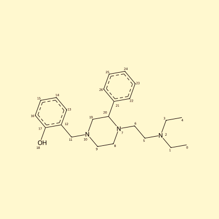 CCN(CC)CCN1CCN(Cc2ccccc2O)CC1c1ccccc1